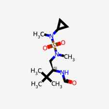 CN(C[C@@H](NC=O)C(C)(C)C)S(=O)(=O)N(C)C1CC1